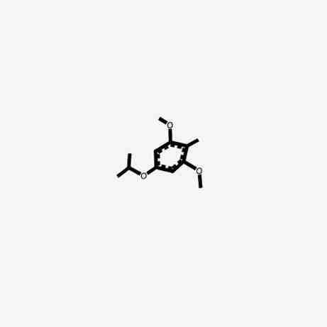 COc1cc(OC(C)C)cc(OC)c1C